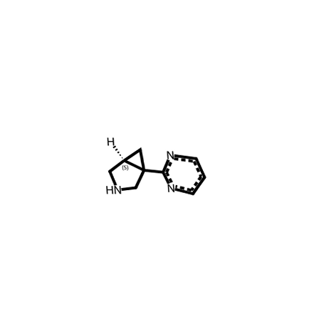 c1cnc(C23CNC[C@H]2C3)nc1